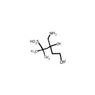 CC(C)(C(O)(CN)CCO)S(=O)(=O)O